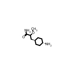 COC(C[C@H]1CC[C@H](N)CC1)C(N)=O